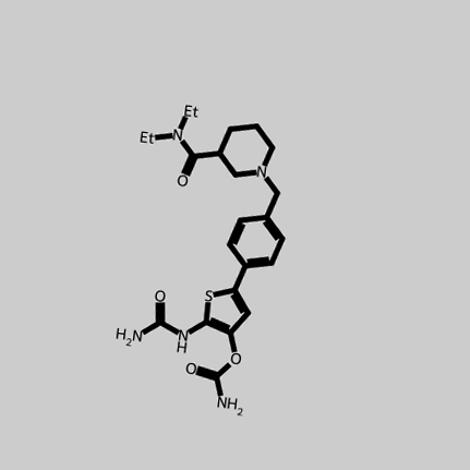 CCN(CC)C(=O)C1CCCN(Cc2ccc(-c3cc(OC(N)=O)c(NC(N)=O)s3)cc2)C1